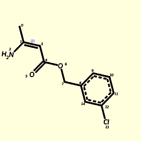 C/C(N)=C/C(=O)OCc1cccc(Cl)c1